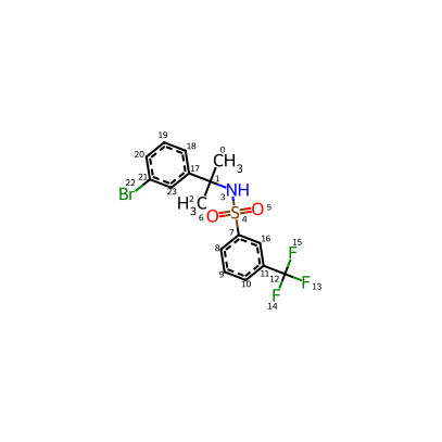 CC(C)(NS(=O)(=O)c1cccc(C(F)(F)F)c1)c1cccc(Br)c1